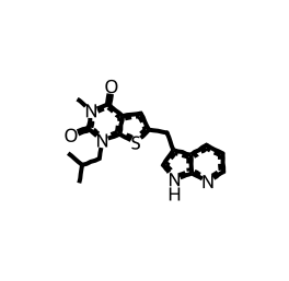 CC(C)Cn1c(=O)n(C)c(=O)c2cc(Cc3c[nH]c4ncccc34)sc21